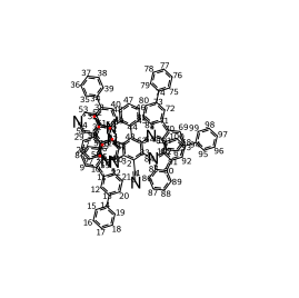 N#Cc1c(-n2c3ccccc3c3cc(-c4ccccc4)ccc32)c(-n2c3ccccc3c3cc(-c4ccccc4)ccc32)c(-c2ccccc2-n2c3ccncc3c3cnccc32)c(-n2c3ccccc3c3cc(-c4ccccc4)ccc32)c1-n1c2ccccc2c2cc(-c3ccccc3)ccc21